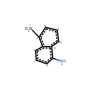 [NH]c1cccc2c([N+](=O)[O-])cccc12